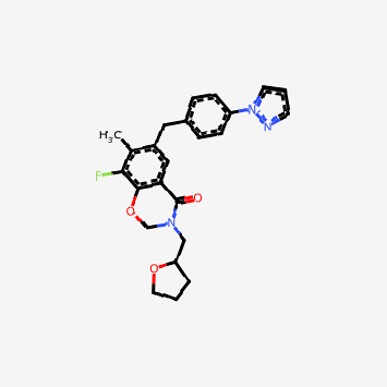 Cc1c(Cc2ccc(-n3cccn3)cc2)cc2c(c1F)OCN(CC1CCCO1)C2=O